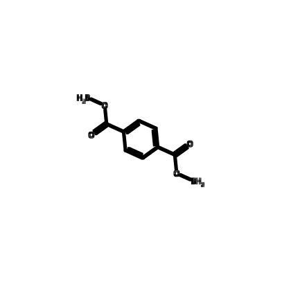 BOC(=O)c1ccc(C(=O)OB)cc1